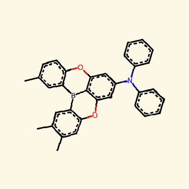 Cc1ccc2c(c1)B1c3cc(C)c(C)cc3Oc3cc(N(c4ccccc4)c4ccccc4)cc(c31)O2